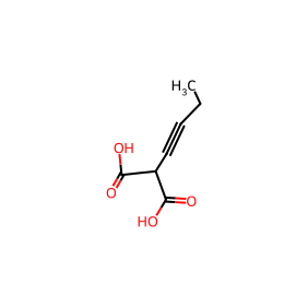 CCC#CC(C(=O)O)C(=O)O